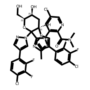 Cc1nc(C2(n3cc(-c4ccc(Cl)c(F)c4F)cn3)O[C@@H](CO)[C@@H](O)C[C@@]2(O)n2cc(-c3ccc(Cl)c(F)c3F)cn2)n(-c2cc(Cl)cnc2C(=O)N(C)C)n1